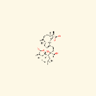 C=C1C(=O)O[C@@H]2[C@H]3C4=C(C[C@H]3C(=C)CC[C@@H]12)O[C@]1(CC4)C(=O)C[C@@H]2[C@H]1[C@H]1OC(=O)C(=C)[C@@H]1CCC2(C)C